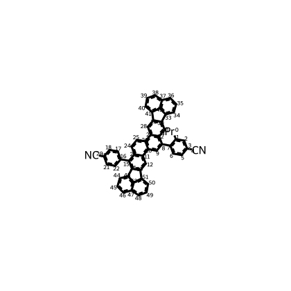 CC(C)c1cc(C#N)ccc1-c1cc2c3cc4c(c(-c5ccc(C#N)cc5)c3ccc2c2cc3c(cc12)-c1cccc2cccc-3c12)-c1cccc2cccc-4c12